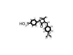 CC1=NN(c2ccc(S(=O)(=O)O)cc2)C(=O)C1Cc1ccc(N(C)C)cc1